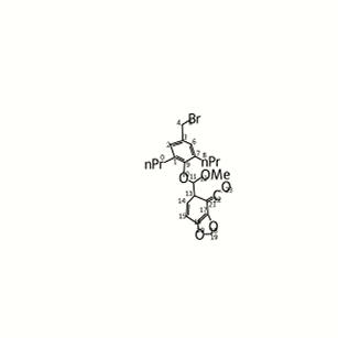 CCCc1cc(CBr)cc(CCC)c1OC(OC)C1C=CC2=C(OCO2)C1=C=O